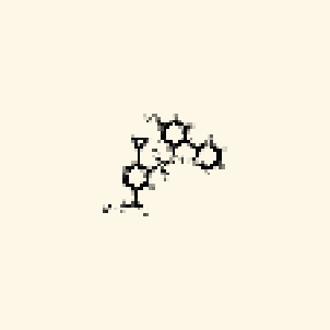 COC(=O)c1ccc(C2CC2)c(S(=O)(=O)Nc2cc(C#N)ccc2-c2ncccn2)c1